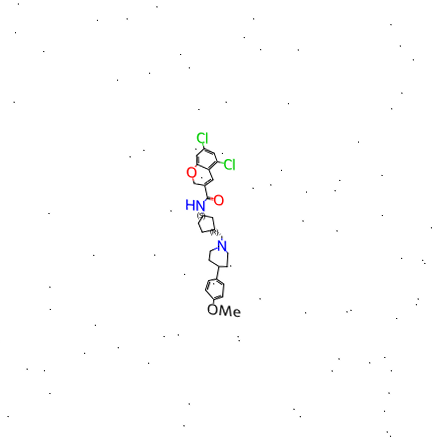 COc1ccc(C2CCN(C[C@@H]3CC[C@H](NC(=O)C4=Cc5c(Cl)cc(Cl)cc5OC4)C3)CC2)cc1